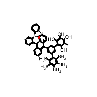 Bc1c(B)c(B)c(-c2cc(-c3c(O)c(C)c(O)c(O)c3O)cc(-c3c4ccccc4c(-c4ccccc4-n4c(CC)nc5ccccc54)c4ccccc34)c2)c(B)c1B